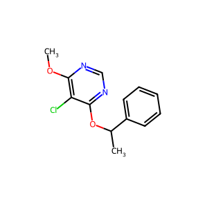 COc1ncnc(OC(C)c2ccccc2)c1Cl